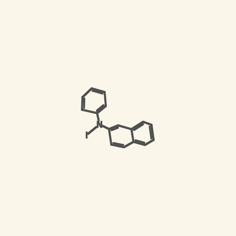 IN(c1ccccc1)c1ccc2ccccc2c1